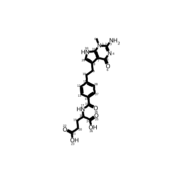 Cn1c(N)nc(=O)c2c(CCc3ccc(C(=O)NC(CCC(=O)O)C(=O)O)cc3)c[nH]c21